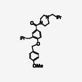 COc1ccc(COc2ccc(C(=O)N3CCN(CC(C)C)CC3)cc2CC(C)C)cc1